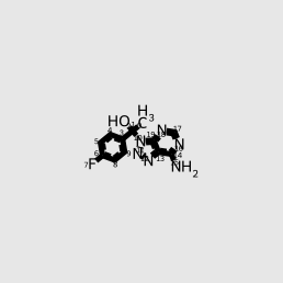 CC(O)(c1ccc(F)cc1)n1nnc2c(N)ncnc21